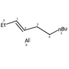 CCC=CCCCCCC.[Al]